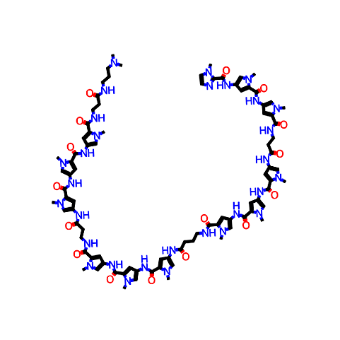 CN(C)CCCNC(=O)CCNC(=O)c1cc(NC(=O)c2cc(NC(=O)c3cc(NC(=O)CCNC(=O)c4cc(NC(=O)c5cc(NC(=O)c6cc(NC(=O)CCCNC(=O)c7cc(NC(=O)c8cc(NC(=O)c9cc(NC(=O)CCNC(=O)c%10cc(NC(=O)c%11cc(NC(=O)c%12nccn%12C)cn%11C)cn%10C)cn9C)cn8C)cn7C)cn6C)cn5C)cn4C)cn3C)cn2C)cn1C